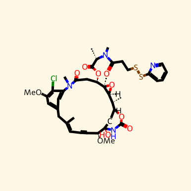 COc1cc2cc(c1Cl)N(C)C(=O)C[C@H](OC(=O)[C@H](C)N(C)C(=O)CCSSc1ccccn1)[C@@]1(C)O[C@H]1[C@H](C)[C@@H]1C[C@@](O)(NC(=O)O1)[C@H](OC)/C=C/C=C(\C)C2